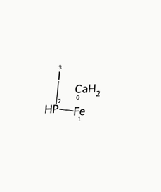 [CaH2].[Fe][PH]I